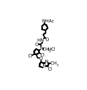 CC(=O)Nc1ccc(C=CC(=O)NCC(=O)N(C)c2ccc(Cl)c(COc3cccn4c(Cl)c(C)nc34)c2Cl)cc1.Cl